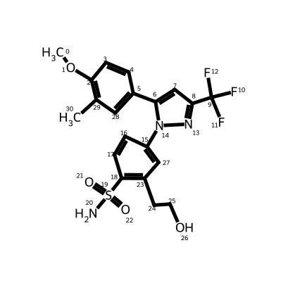 COc1ccc(-c2cc(C(F)(F)F)nn2-c2ccc(S(N)(=O)=O)c(CCO)c2)cc1C